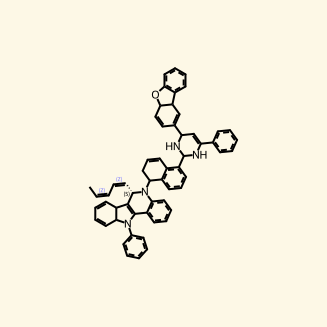 C/C=C\C=C/[C@H]1C2=C(c3ccccc3N1C1CC=Cc3c(C4NC(c5ccccc5)=CC(C5=CC6c7ccccc7OC6C=C5)N4)cccc31)N(c1ccccc1)C1C=CC=CC21